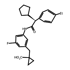 CCc1ccc([C@@H](C(=O)Nc2cc(F)cc(CC3(C(=O)O)CC3)c2)C2CCCC2)cc1